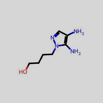 Nc1cnn(CCCCO)c1N